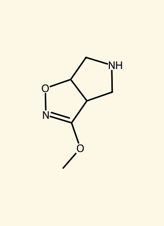 COC1=NOC2CNCC12